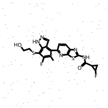 Cc1c(F)c(SCCO)c2[nH]ncc2c1-c1ccc2nc(NC(=O)C3CC3F)sc2n1